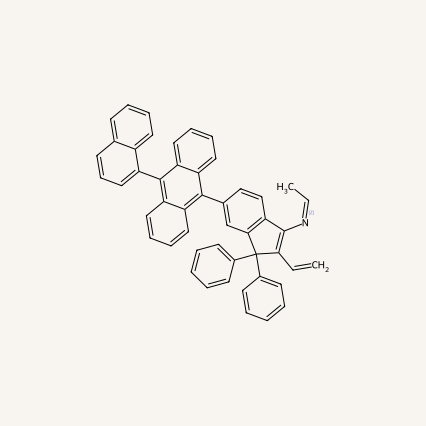 C=CC1=C(/N=C\C)c2ccc(-c3c4ccccc4c(-c4cccc5ccccc45)c4ccccc34)cc2C1(c1ccccc1)c1ccccc1